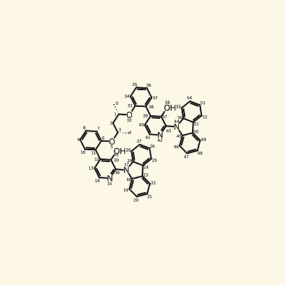 C[C@@H](C[C@H](C)Oc1ccccc1-c1ccnc(-n2c3ccccc3c3ccccc32)c1O)Oc1ccccc1-c1ccnc(-n2c3ccccc3c3ccccc32)c1O